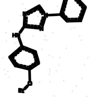 CCOc1ccc(Nc2ncn(-c3ccccc3)n2)cc1